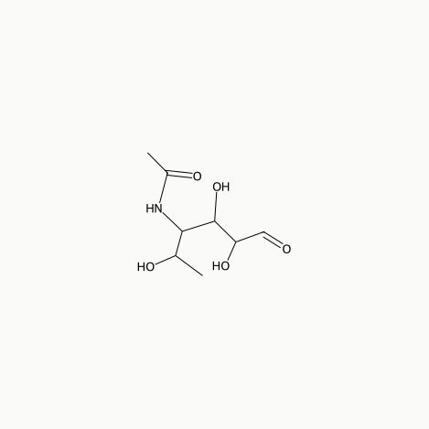 CC(=O)NC(C(C)O)C(O)C(O)C=O